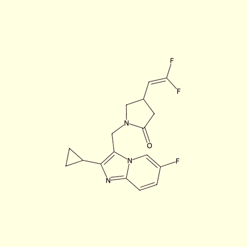 O=C1CC(C=C(F)F)CN1Cc1c(C2CC2)nc2ccc(F)cn12